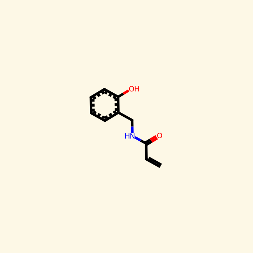 C=CC(=O)NCc1ccccc1O